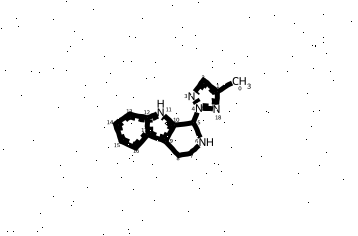 Cc1cnn(C2NCCc3c2[nH]c2ccccc32)n1